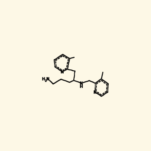 Cc1cccnc1CNC(CCCN)Cc1ncccc1C